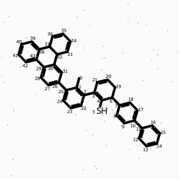 Cc1c(C2=C(S)C(c3ccc(-c4ccccc4)cc3)CC=C2)cccc1-c1ccc2c(c1)C1C=CC=CC1c1ccccc1-2